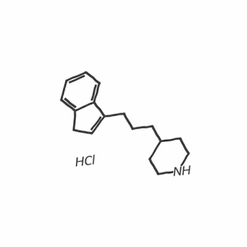 C1=C(CCCC2CCNCC2)c2ccccc2C1.Cl